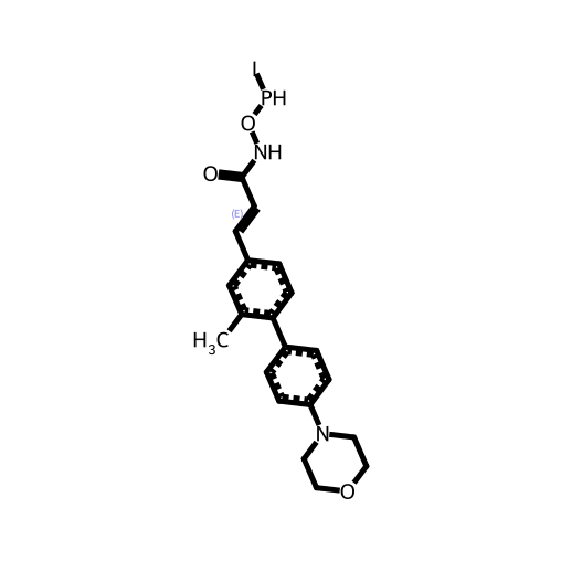 Cc1cc(/C=C/C(=O)NOPI)ccc1-c1ccc(N2CCOCC2)cc1